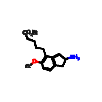 CCOC(=O)CCCCc1c(OCC)ccc2c1CC(N)C2